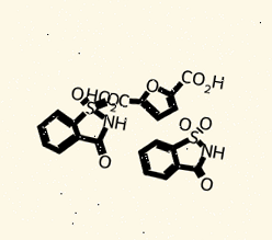 O=C(O)c1ccc(C(=O)O)o1.O=C1NS(=O)(=O)c2ccccc21.O=C1NS(=O)(=O)c2ccccc21